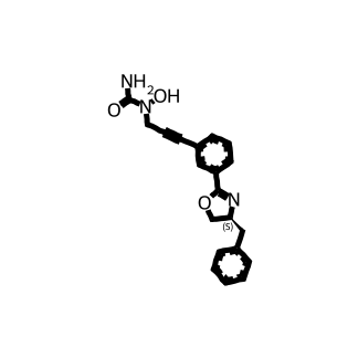 NC(=O)N(O)CC#Cc1cccc(C2=N[C@@H](Cc3ccccc3)CO2)c1